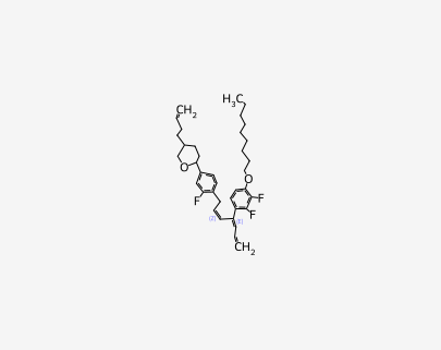 C=C/C=C(\C=C/Cc1ccc(C2CCC(CCC=C)CO2)cc1F)c1ccc(OCCCCCCCCC)c(F)c1F